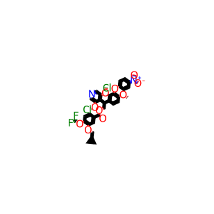 COc1ccc(C(COC(=O)c2ccc(OC(F)F)c(OCC3CC3)c2)c2c(OCl)cncc2OCl)cc1Oc1ccc([N+](=O)[O-])cc1